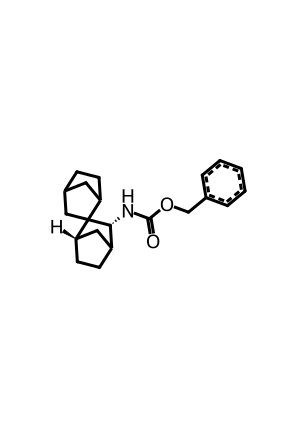 O=C(N[C@@H]1C2CC[C@@H](C2)C12CC1CCC2C1)OCc1ccccc1